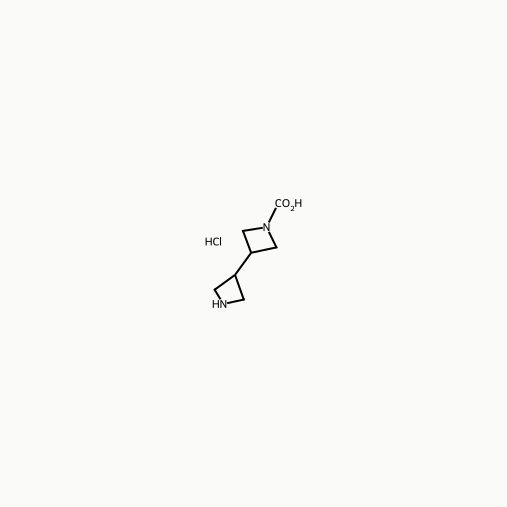 Cl.O=C(O)N1CC(C2CNC2)C1